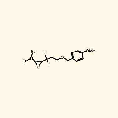 CCN(CC)C1OC1C(F)(F)CCOCc1ccc(OC)cc1